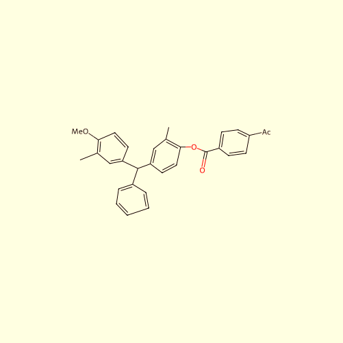 COc1ccc(C(c2ccccc2)c2ccc(OC(=O)c3ccc(C(C)=O)cc3)c(C)c2)cc1C